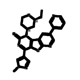 CC[C@H]1C[C@@H](n2c(=O)nc(-c3cnn(C)c3)c3oc4ncc(-c5cccnc5)cc4c32)CCO1